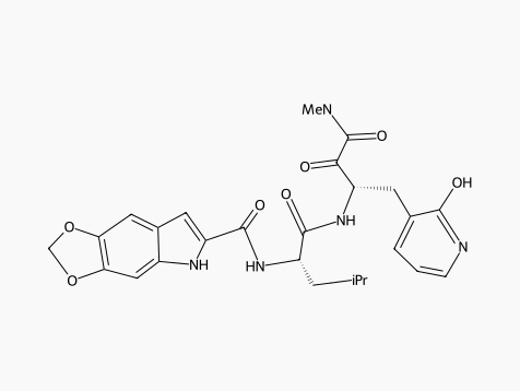 CNC(=O)C(=O)[C@H](Cc1cccnc1O)NC(=O)[C@H](CC(C)C)NC(=O)c1cc2cc3c(cc2[nH]1)OCO3